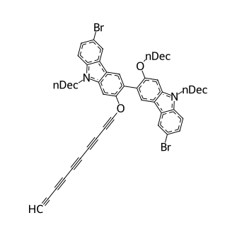 C#CC#CC#CC#CC#COc1cc2c(cc1-c1cc3c4cc(Br)ccc4n(CCCCCCCCCC)c3cc1OCCCCCCCCCC)c1cc(Br)ccc1n2CCCCCCCCCC